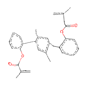 C=C(C)C(=O)Oc1ccccc1-c1cc(C)c(-c2ccccc2OC(=O)C(=C)C)cc1C